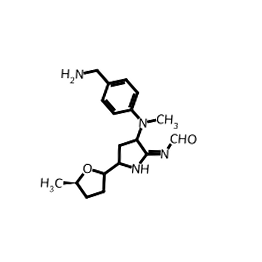 C[C@@H]1CCC(C2CC(N(C)c3ccc(CN)cc3)/C(=N\C=O)N2)O1